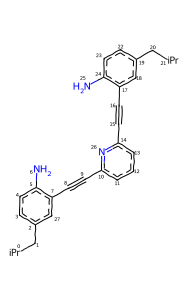 CC(C)Cc1ccc(N)c(C#Cc2cccc(C#Cc3cc(CC(C)C)ccc3N)n2)c1